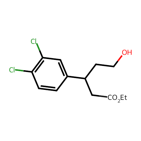 CCOC(=O)CC(CCO)c1ccc(Cl)c(Cl)c1